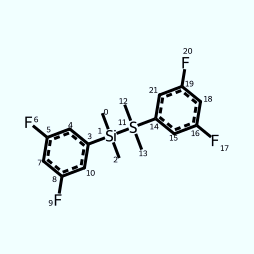 C[Si](C)(c1cc(F)cc(F)c1)S(C)(C)c1cc(F)cc(F)c1